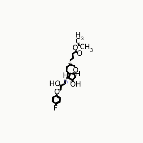 CC(C)OC(=O)CCC[C@H]1CC[C@@H]2[C@@H](/C=C/[C@@H](O)COc3ccc(F)cc3)[C@H](O)C[C@@H]2OC1